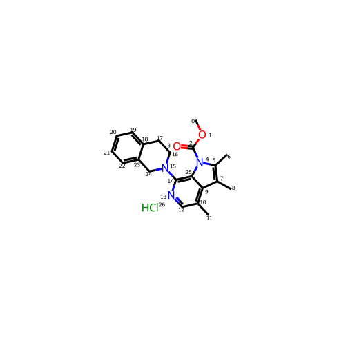 COC(=O)n1c(C)c(C)c2c(C)cnc(N3CCc4ccccc4C3)c21.Cl